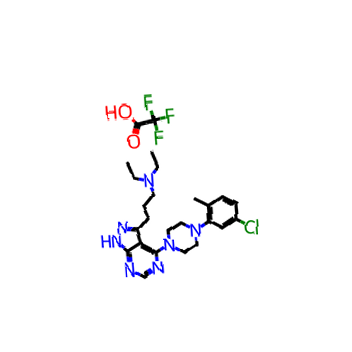 CCN(CC)CCCc1n[nH]c2ncnc(N3CCN(c4cc(Cl)ccc4C)CC3)c12.O=C(O)C(F)(F)F